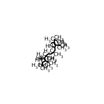 CC(C)(CCC(C)(C)C1=C(C(C)(C)C)C(C(C)(C)C)NN1)CC1NCC(C(C)(C)C)=C1C(C)(C)C